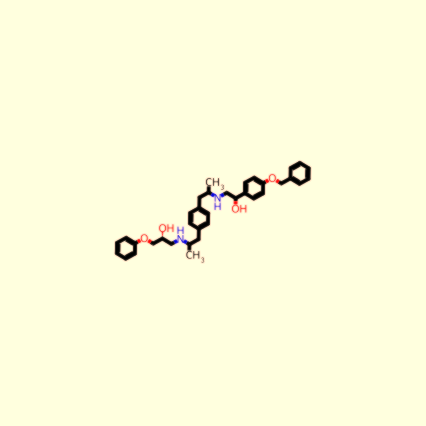 CC(Cc1ccc(CC(C)NC[C@@H](O)COc2ccccc2)cc1)NCC(O)c1ccc(OCc2ccccc2)cc1